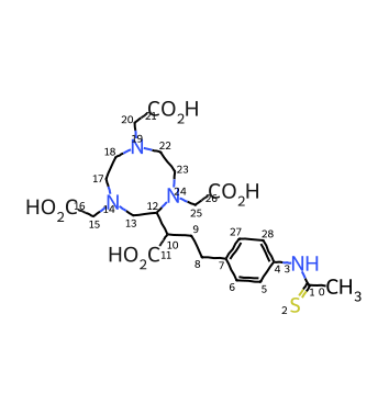 CC(=S)Nc1ccc(CCC(C(=O)O)C2CN(CC(=O)O)CCN(CC(=O)O)CCN2CC(=O)O)cc1